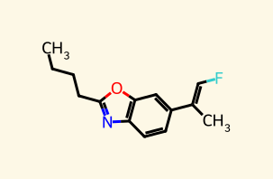 CCCCc1nc2ccc(C(C)=CF)cc2o1